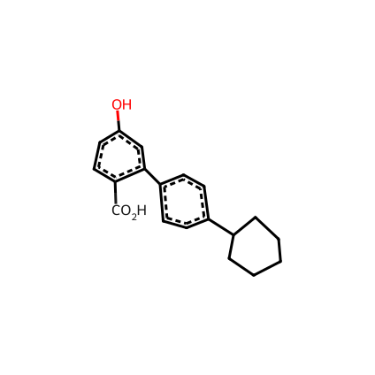 O=C(O)c1ccc(O)cc1-c1ccc(C2CCCCC2)cc1